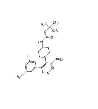 Cc1cc(F)cc(-c2cnnc(C=O)c2N2CCC(NC(=O)OC(C)(C)C)CC2)c1